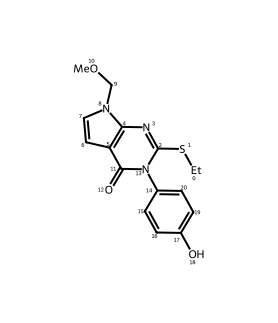 CCSc1nc2c(ccn2COC)c(=O)n1-c1ccc(O)cc1